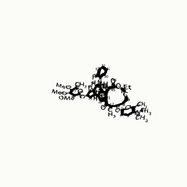 CC[C@H]1CCC[C@H](O[C@H]2CC[C@H](N(C)C)[C@@H](C)O2)[C@@H](C)C(=O)C2=C[C@H]3[C@@H]4C[C@H](O[C@@H]5O[C@@H](C)[C@H](OC)[C@@H](OC)[C@H]5OC)C[C@H]4[C@H]4[C@@H]([C@H]3[C@@H]2CC(=O)O1)N4c1ccccc1F